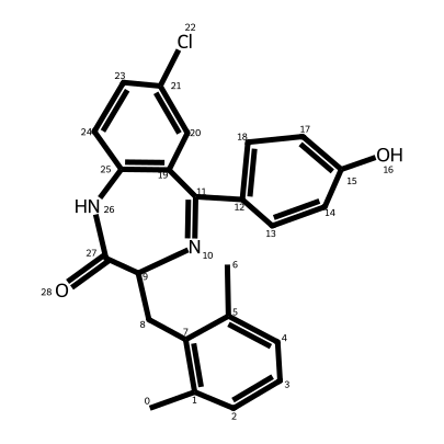 Cc1cccc(C)c1CC1N=C(c2ccc(O)cc2)c2cc(Cl)ccc2NC1=O